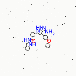 Nc1n[nH]c2nc(-c3cccc(C(=O)Nc4cc5ccccc5[nH]4)c3)cc(-c3ccc(Oc4ccccc4)cc3)c12